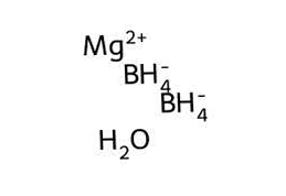 O.[BH4-].[BH4-].[Mg+2]